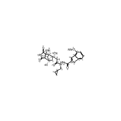 COc1cccc2[nH]c(C(=O)N[C@@H](CC3CC3)C(=O)N[C@@]3(C#N)C[C@@H]4C[C@H]3[C@H]3C(=O)NC(=O)C43)cc12